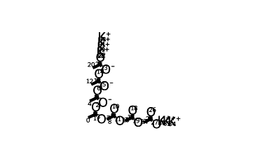 CC(=O)[O-].CC(=O)[O-].CC(=O)[O-].CC(=O)[O-].CC(=O)[O-].CC(=O)[O-].CC(=O)[O-].[K+].[K+].[K+].[K+].[K+].[K+].[K+]